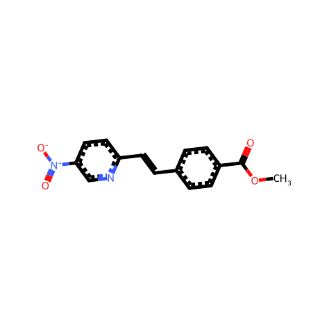 COC(=O)c1ccc(C=Cc2ccc([N+](=O)[O-])cn2)cc1